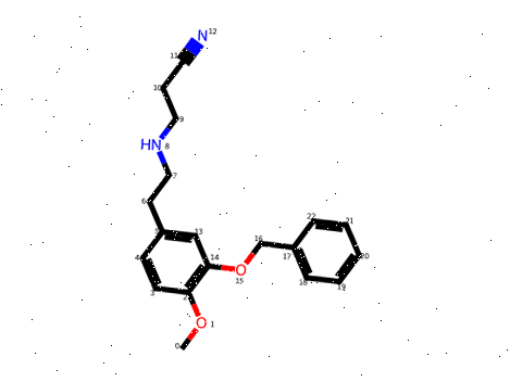 COc1ccc(CCNCCC#N)cc1OCc1ccccc1